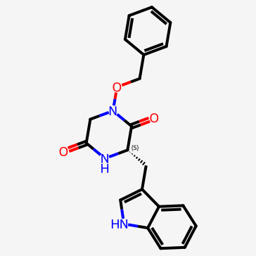 O=C1CN(OCc2ccccc2)C(=O)[C@H](Cc2c[nH]c3ccccc23)N1